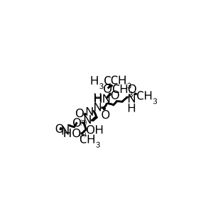 CC(=O)NCCCCC(NC(=O)OC(C)(C)C)C(=O)Nc1ccn([C@H](OCCN=O)C(O)[C@H](C)O)c(=O)n1